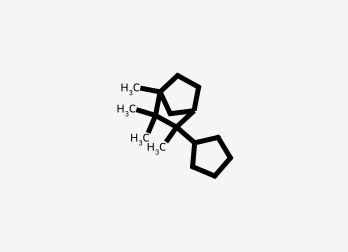 CC12CCC(C1)C(C)(C1CCCC1)C2(C)C